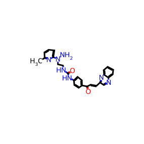 Cc1cccc(N(N)CCNC(=O)Nc2ccc(C(=O)C=Cc3cnc4ccccc4n3)cc2)n1